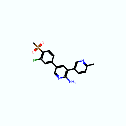 Cc1ccc(-c2cc(-c3ccc(S(C)(=O)=O)c(F)c3)cnc2N)cn1